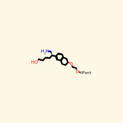 CCCCCOCCO[C@H]1CCc2cc([C@H](CN)CCCCO)ccc2C1